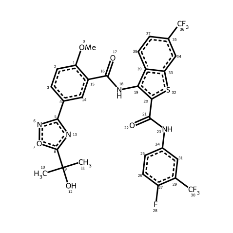 COc1ccc(-c2noc(C(C)(C)O)n2)cc1C(=O)Nc1c(C(=O)Nc2ccc(F)c(C(F)(F)F)c2)sc2cc(C(F)(F)F)ccc12